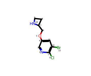 Clc1ncc(OCC2CCN2)cc1Br